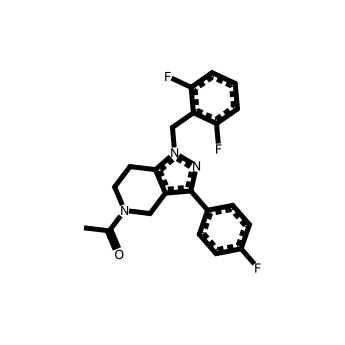 CC(=O)N1CCc2c(c(-c3ccc(F)cc3)nn2Cc2c(F)cccc2F)C1